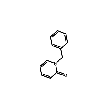 O=c1ccccn1Cc1[c]cccc1